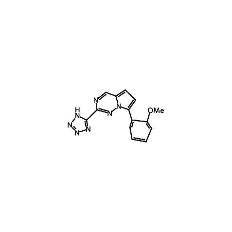 COc1ccccc1-c1ccc2cnc(-c3nnn[nH]3)nn12